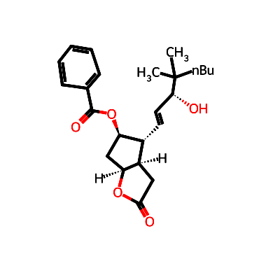 CCCCC(C)(C)[C@H](O)/C=C/[C@@H]1[C@H]2CC(=O)O[C@H]2C[C@H]1OC(=O)c1ccccc1